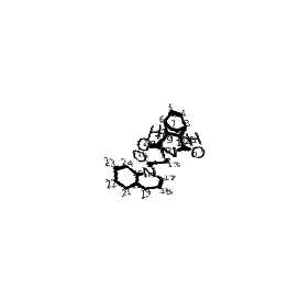 O=C1[C@@H]2C3C=CC(CC3)[C@@H]2C(=O)N1CC(=O)N1CCCC2CCCCC21